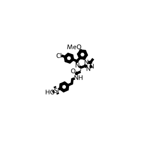 COc1ccc2c(c1)C(c1ccc(Cl)cc1)=N[C@@H](CC(=O)NCCc1ccc([Si](C)(C)O)cc1)c1nnc(C)n1-2